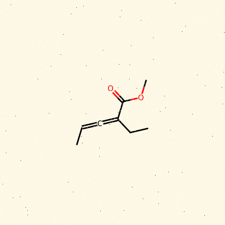 CC=C=C(CC)C(=O)OC